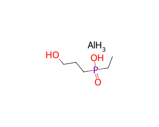 CCP(=O)(O)CCCO.[AlH3]